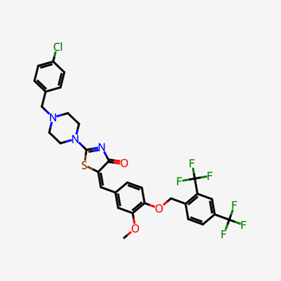 COc1cc(/C=C2/SC(N3CCN(Cc4ccc(Cl)cc4)CC3)=NC2=O)ccc1OCc1ccc(C(F)(F)F)cc1C(F)(F)F